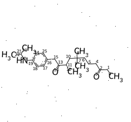 CCC(=O)CCCC(C)(C)CC(C)C(=O)Cc1ccc(NC(C)C)cc1